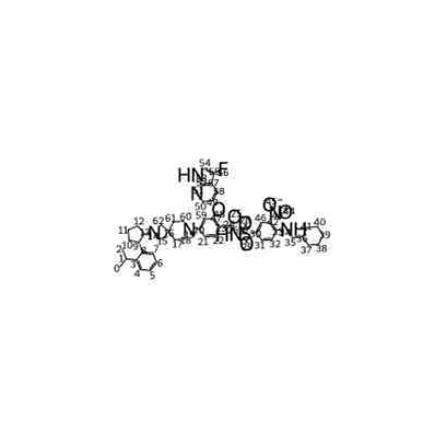 CC(C)c1ccccc1[C@H]1CCC[C@H]1N1CC2(CCN(c3ccc(C(=O)NS(=O)(=O)c4ccc(NCC5CCCCC5)c([N+](=O)[O-])c4)c(Oc4cnc5[nH]cc(F)c5c4)c3)CC2)C1